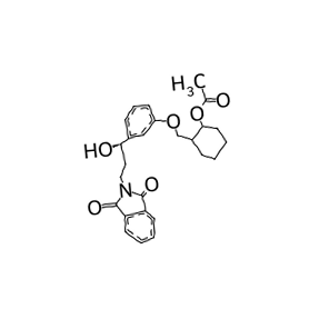 CC(=O)OC1CCCCC1COc1cccc([C@H](O)CCN2C(=O)c3ccccc3C2=O)c1